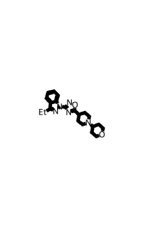 CCc1nn(-c2noc(C3CCN(C4CCOCC4)CC3)n2)c2ccccc12